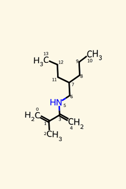 C=C(C)C(=C)NCC(CCC)CCC